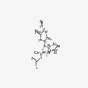 CC(C)C[S+]([O-])NCC(c1ccc(C#N)c(F)c1)c1cncn1C